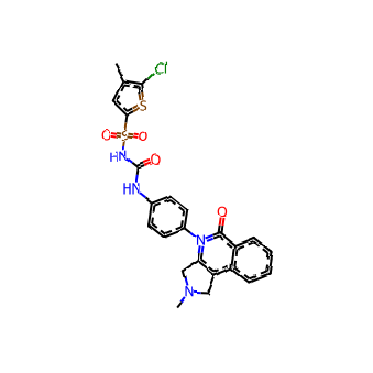 Cc1cc(S(=O)(=O)NC(=O)Nc2ccc(-n3c4c(c5ccccc5c3=O)CN(C)C4)cc2)sc1Cl